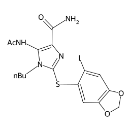 CCCCn1c(Sc2cc3c(cc2I)OCO3)nc(C(N)=O)c1NC(C)=O